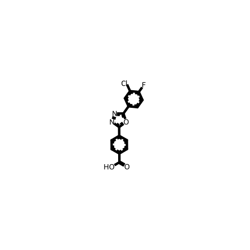 O=C(O)c1ccc(-c2nnc(-c3ccc(F)c(Cl)c3)o2)cc1